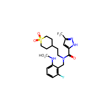 O=C(O)Nc1cccc(F)c1CN(CCC1CCS(=O)(=O)CC1)C(=O)c1cc(C(F)(F)F)n[nH]1